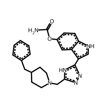 NC(=O)Oc1ccc2[nH]cc(-c3nnc(CN4CCC(Cc5ccccc5)CC4)[nH]3)c2c1